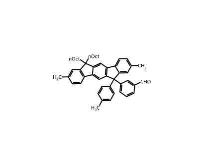 CCCCCCCCC1(CCCCCCCC)c2cc(C)ccc2-c2cc3c(cc21)-c1ccc(C)cc1C3(c1ccc(C)cc1)c1cccc(C=O)c1